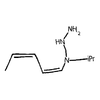 C/C=C\C=C/N(NN)C(C)C